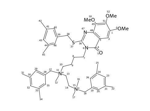 COc1cc2c(=O)n(CCCC[N+](C)(CC[N+](C)(C)Cc3cc(C)cc(C)c3)Cc3cc(C)cc(C)c3)c(SCc3cc(C)cc(C)c3)nc2c(OC)c1OC